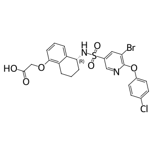 O=C(O)COc1cccc2c1CCC[C@H]2NS(=O)(=O)c1cnc(Oc2ccc(Cl)cc2)c(Br)c1